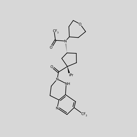 CC(C)[C@]1(C(=O)N2CCc3ncc(C(F)(F)F)cc3N2)CC[C@@H](N(C(=O)C(F)(F)F)C2CCOCC2)C1